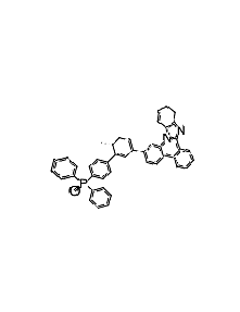 C[C@@H]1CC=C(c2ccc3c4ccccc4c4nc5c(n4c3c2)C=CCC5)C=C1c1ccc(P(=O)(c2ccccc2)c2ccccc2)cc1